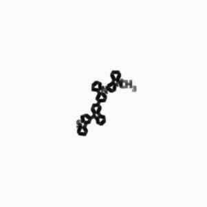 Cn1c2ccccc2c2cc(-n3c4ccccc4c4cc(-c5ccc6c(c5)-c5ccccc5C6c5ccc6sc7ccccc7c6c5)ccc43)ccc21